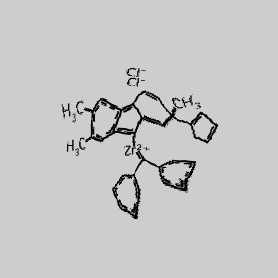 Cc1cc2c(cc1C)=[C]([Zr+2]=[C](c1ccccc1)c1ccccc1)C1=CC(C)(C3=CC=CC3)C=CC=21.[Cl-].[Cl-]